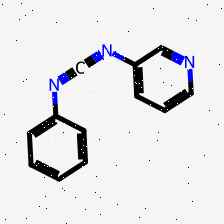 C(=Nc1ccccc1)=Nc1cccnc1